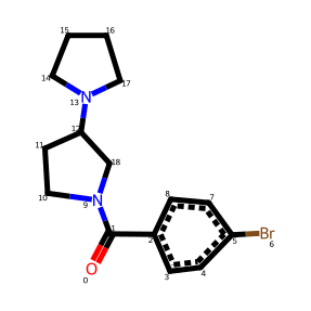 O=C(c1ccc(Br)cc1)N1CCC(N2CCCC2)C1